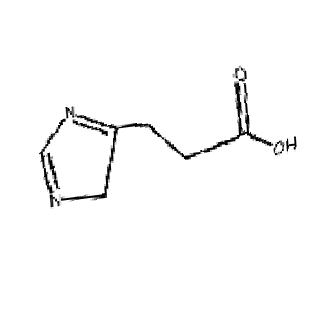 O=C(O)CCC1=NC=NC1